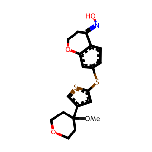 COC1(c2csc(Sc3ccc4c(c3)OCCC4=NO)c2)CCOCC1